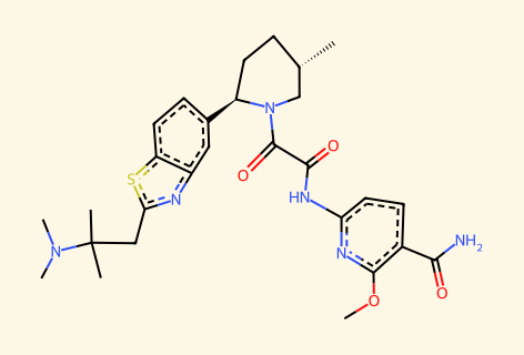 COc1nc(NC(=O)C(=O)N2C[C@@H](C)CC[C@@H]2c2ccc3sc(CC(C)(C)N(C)C)nc3c2)ccc1C(N)=O